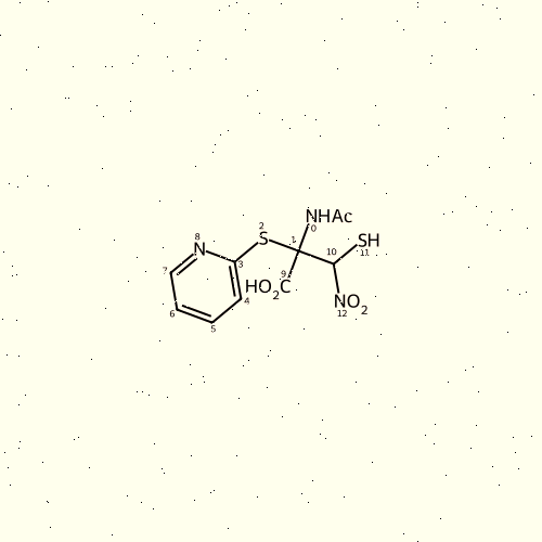 CC(=O)NC(Sc1ccccn1)(C(=O)O)C(S)[N+](=O)[O-]